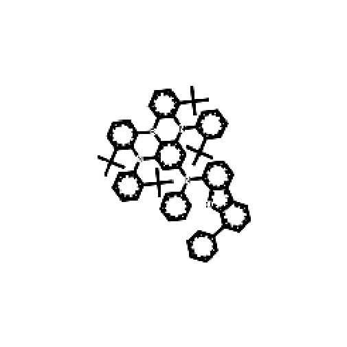 CC(C)(C)c1ccccc1N1c2cc(N(c3ccccc3)c3cccc4c3oc3c(-c5ccccc5)cccc34)cc3c2B(c2cccc(C(C)(C)C)c21)c1cccc(C(C)(C)C)c1N3c1ccccc1C(C)(C)C